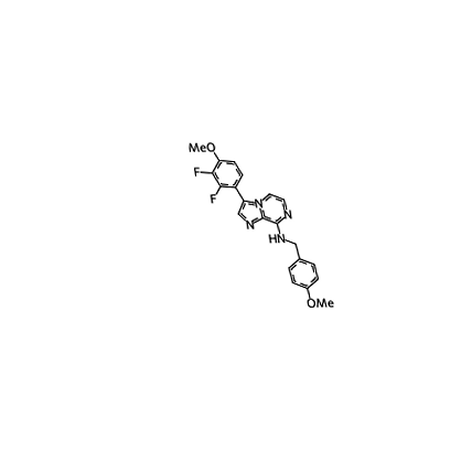 COc1ccc(CNc2nccn3c(-c4ccc(OC)c(F)c4F)cnc23)cc1